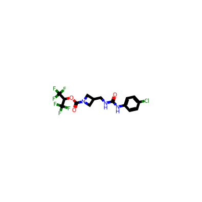 O=C(NCC1CN(C(=O)OC(C(F)(F)F)C(F)(F)F)C1)Nc1ccc(Cl)cc1